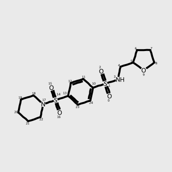 O=S(=O)(NCC1CCCO1)c1ccc(S(=O)(=O)N2CCCCC2)cc1